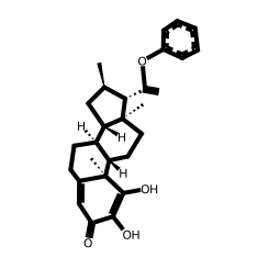 C=C(Oc1ccccc1)[C@H]1[C@H](C)C[C@H]2[C@@H]3CCC4=CC(=O)C(O)=C(O)[C@]4(C)[C@H]3CC[C@@]21C